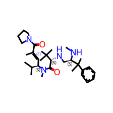 CN[C@H](CN[C@H](C(=O)N(C)[C@H](/C=C(\C)C(=O)N1CCCC1)C(C)C)C(C)(C)C)C(C)(C)c1ccccc1